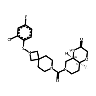 O=C1CO[C@H]2CCN(C(=O)N3CCC4(CC3)CN(Sc3ccc(F)cc3Cl)C4)C[C@H]2N1